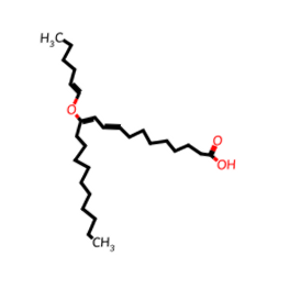 CCCCC=COC(=CC=CCCCCCCCC(=O)O)CCCCCCCCCC